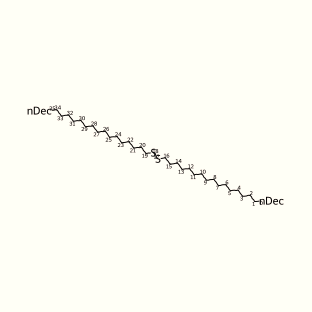 CCCCCCCCCCCCCCCCCCCCCCCCCCSSCCCCCCCCCCCCCCCCCCCCCCCCCC